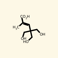 CC(=CC(CO)(CO)CO)C(=O)O